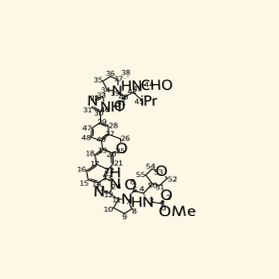 COC(=O)N[C@H](C(=O)N1CCCC1c1nc2ccc3cc4c(cc3c2[nH]1)OCc1cc(-c2cnc([C@@H]3CC[C@H](C)N3C(=O)C(NC=O)C(C)C)[nH]2)ccc1-4)C1CCOCC1